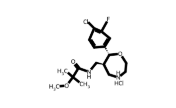 COC(C)(C)C(=O)NC[C@@H]1CNCCO[C@H]1c1ccc(Cl)c(F)c1.Cl